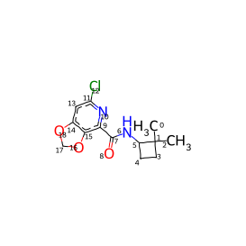 CC1(C)CCC1NC(=O)c1nc(Cl)cc2c1OCO2